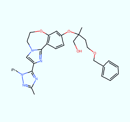 Cc1nc(-c2cn3c(n2)-c2ccc(OC(C)(CO)CCOCc4ccccc4)cc2OCC3)n(C(C)C)n1